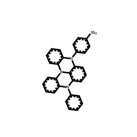 CC(C)(C)c1ccc(N2c3ccccc3B3c4ccccc4N(c4ccccc4)c4cccc2c43)cc1